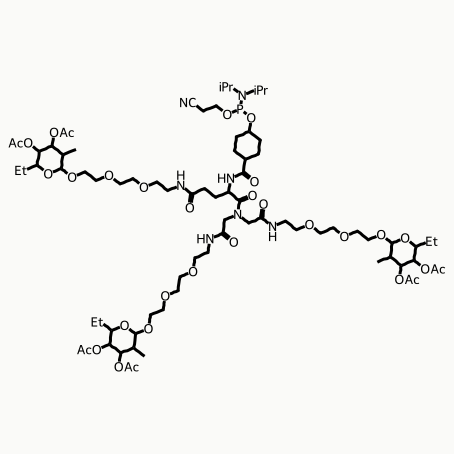 CCC1OC(OCCOCCOCCNC(=O)CCC(NC(=O)C2CCC(OP(OCCC#N)N(C(C)C)C(C)C)CC2)C(=O)N(CC(=O)NCCOCCOCCOC2OC(CC)C(OC(C)=O)C(OC(C)=O)C2C)CC(=O)NCCOCCOCCOC2OC(CC)C(OC(C)=O)C(OC(C)=O)C2C)C(C)C(OC(C)=O)C1OC(C)=O